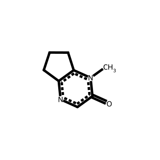 Cn1c2c(ncc1=O)CCC2